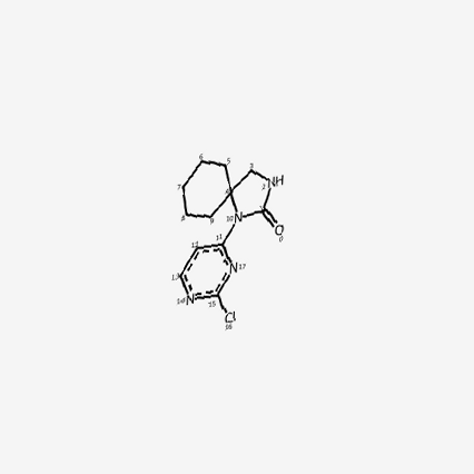 O=C1NCC2(CCCCC2)N1c1ccnc(Cl)n1